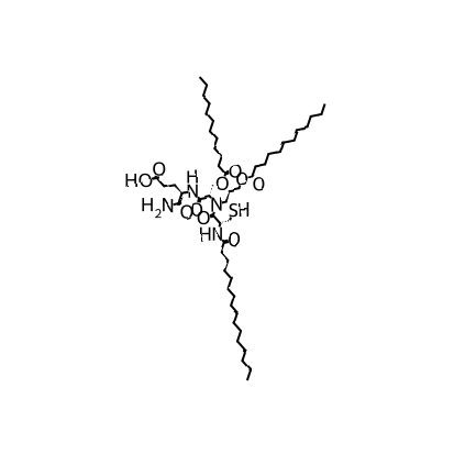 CCCCCCCCCCCCCCCC(=O)N[C@@H](CS)C(=O)N(C[C@H](COC(=O)CCCCCCCCCCC)OC(=O)CCCCCCCCCCC)[C@@H](C)C(=O)N[C@H](CCC(=O)O)C(N)=O